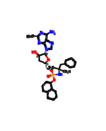 COc1nc(N)c2ncn([C@@H]3O[C@H](COP(=O)(NC(C)(Cc4ccccc4)C(=O)O)Oc4cccc5ccccc45)C[C@H]3O)c2n1